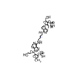 C[C@H]1C[C@@H](O[PH](=O)S)[C@H](C(OCCO)n2cnc3c(NC/C=C/CNc4ncnc5c4ncn5C4OC(CO)[C@@H](O[PH](=O)S)[C@H]4F)ncnc32)O1